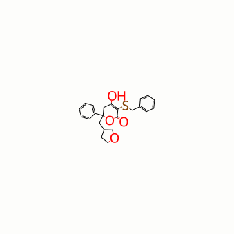 O=C1OC(CC2CCOC2)(c2ccccc2)CC(O)=C1SCc1ccccc1